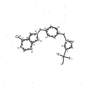 FC(F)(F)c1cnn(Cc2ccc(Cn3cc4c(Cl)ncnc4n3)cc2)c1